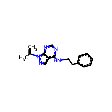 C=C(C)n1ncc2c(NCCc3ccccc3)ncnc21